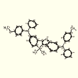 COc1ccc(N(c2ccccc2)c2ccc3c(c2)-c2oc4cc(N(c5ccccc5)c5ccc(C)cc5)ccc4c2[Si]3(C)C)cc1